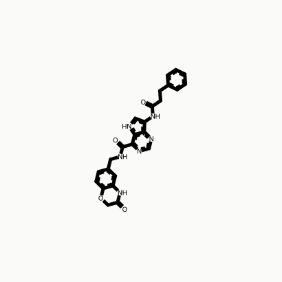 O=C1COc2ccc(CNC(=O)c3ncnc4c(NC(=O)CCc5ccccc5)c[nH]c34)cc2N1